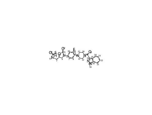 CN(C[C@@H]1CN(c2ccc(N3CCN(C(=O)c4nn(C)c5ccccc45)CC3)c(F)c2)C(=O)O1)C(=O)S